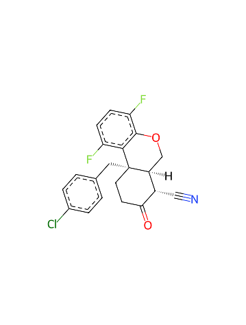 N#C[C@@H]1C(=O)CC[C@@]2(Cc3ccc(Cl)cc3)c3c(F)ccc(F)c3OC[C@@H]12